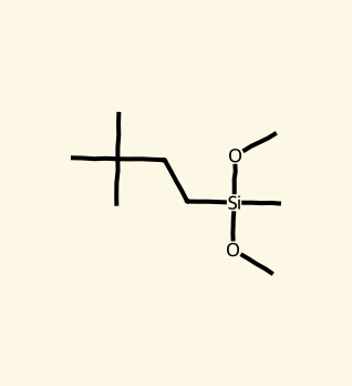 CO[Si](C)(CCC(C)(C)C)OC